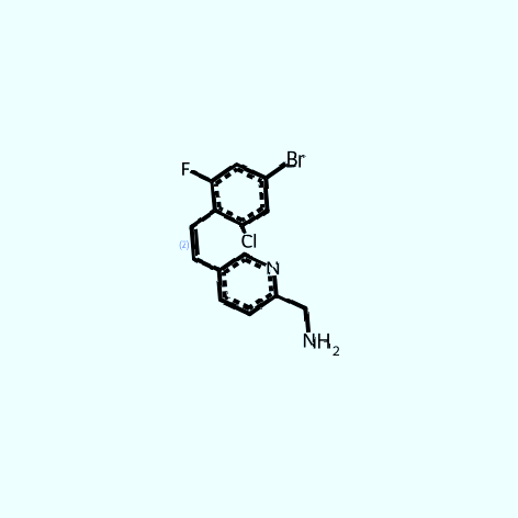 NCc1ccc(/C=C\c2c(F)cc(Br)cc2Cl)cn1